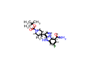 CC(C)(C)OC(=O)N1CCC(C)(c2cnn3c2[nH]c2cc(F)cc(C(N)=O)c23)CC1